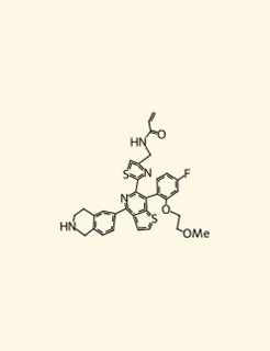 C=CC(=O)NCc1csc(-c2nc(-c3ccc4c(c3)CCNC4)c3ccsc3c2-c2ccc(F)cc2OCCOC)n1